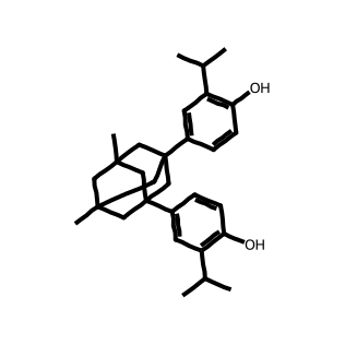 CC(C)c1cc(C23CC4(C)CC(C)(C2)CC(c2ccc(O)c(C(C)C)c2)(C4)C3)ccc1O